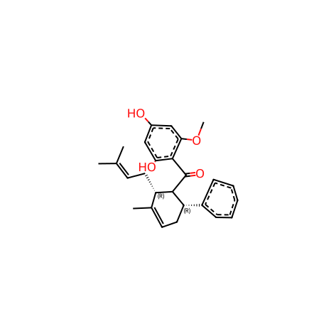 COc1cc(O)cc(O)c1C(=O)C1[C@@H](CC=C(C)C)C(C)=CC[C@H]1c1ccccc1